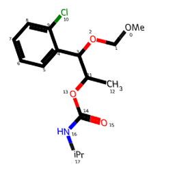 COCOC(c1ccccc1Cl)C(C)OC(=O)NC(C)C